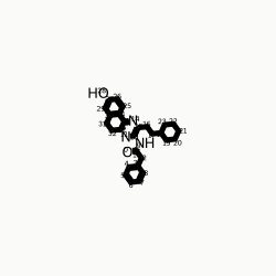 O=C(Cc1ccccc1)Nc1nc2c(nc1CCC1CCCCC1)-c1ccc(O)cc1CC2